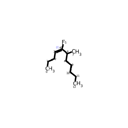 CCC/C=C(/F)C(C)CCCCC